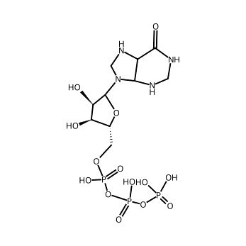 O=C1NCNC2C1NCN2C1O[C@H](COP(=O)(O)OP(=O)(O)OP(=O)(O)O)[C@@H](O)[C@H]1O